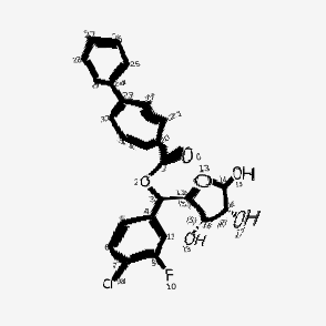 O=C(OC(c1ccc(Cl)c(F)c1)[C@H]1OC(O)[C@H](O)[C@@H]1O)c1ccc(-c2ccccc2)cc1